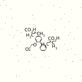 C=C(C)C(=O)O.C=C(C)C(=O)O.c1ccc(-c2ccccc2OCC2CO2)cc1